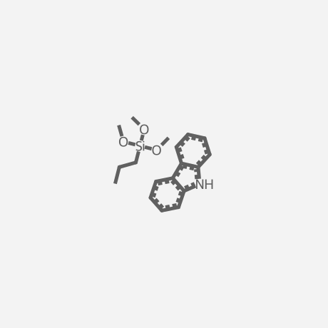 CCC[Si](OC)(OC)OC.c1ccc2c(c1)[nH]c1ccccc12